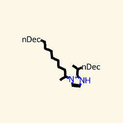 CCCCCCCCCCCCCCCCCC(C)[n+]1cc[nH]c1C(C)CCCCCCCCCC